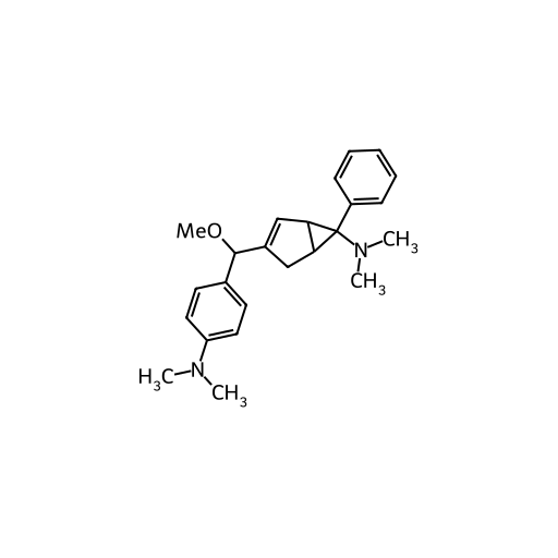 COC(C1=CC2C(C1)C2(c1ccccc1)N(C)C)c1ccc(N(C)C)cc1